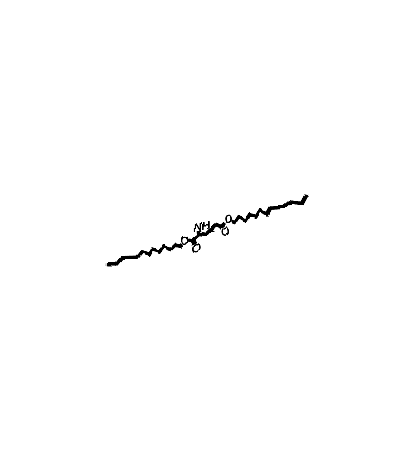 CCCCCCCCCCCCOC(=O)CCC(N)C(=O)OCCCCCCCCCCCC